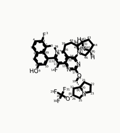 Cc1c(F)ccc2cc(O)cc(-c3c(F)c4nc(OC[C@]56CCCN5C[C@H](OC(F)(F)F)C6)nc5c4c([n+]3C)CC[C@@H]3[C@@H]4CC[C@H](CN53)N4)c12